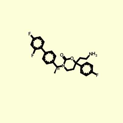 C[C@@H](c1ccc(-c2ccc(F)cc2F)cc1)N1CCC(CCN)(c2ccc(F)cc2)OC1=O